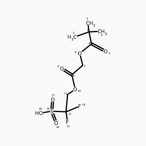 CC(C)(C)C(=O)OCC(=O)OCC(F)(F)S(=O)(=O)O